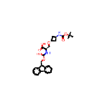 CC(C)(C)OC(=O)N[C@H]1C[C@H](OC[C@@H](NC(O)OCC2c3ccccc3-c3ccccc32)C(=O)O)C1